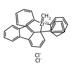 [CH2]=[Zr+2]([c]1ccccc1)([c]1ccccc1)[C]1(C2=CC=CC2)C=CC=C2C1=Cc1ccccc12.[Cl-].[Cl-]